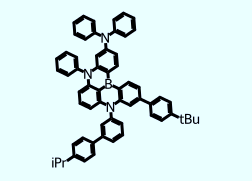 CC(C)c1ccc(-c2cccc(N3c4cc(-c5ccc(C(C)(C)C)cc5)ccc4B4c5ccc(N(c6ccccc6)c6ccccc6)cc5N(c5ccccc5)c5cccc3c54)c2)cc1